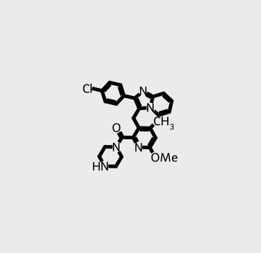 COc1cc(C)c(Cc2c(-c3ccc(Cl)cc3)nc3ccccn23)c(C(=O)N2CCNCC2)n1